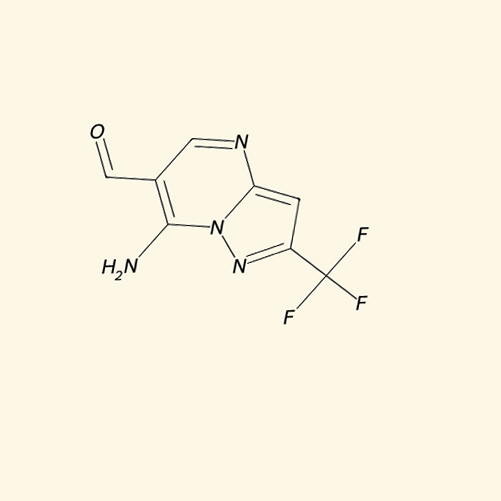 Nc1c(C=O)cnc2cc(C(F)(F)F)nn12